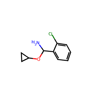 NC(OC1CC1)c1ccccc1Cl